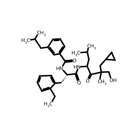 CCc1ccccc1C[C@H](NC(=O)c1cccc(CC(C)C)c1)C(=O)NC(CC(C)C)C(=O)C(C)(CO)CC1CC1